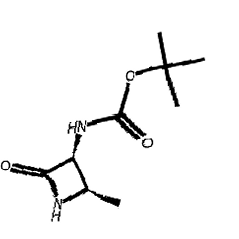 C[C@H]1NC(=O)[C@H]1NC(=O)OC(C)(C)C